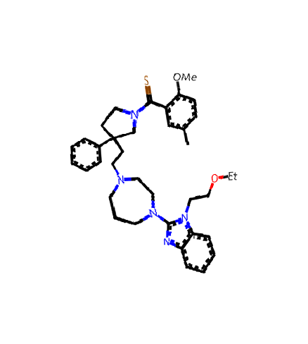 CCOCCn1c(N2CCCN(CCC3(c4ccccc4)CCN(C(=S)c4cc(C)ccc4OC)C3)CC2)nc2ccccc21